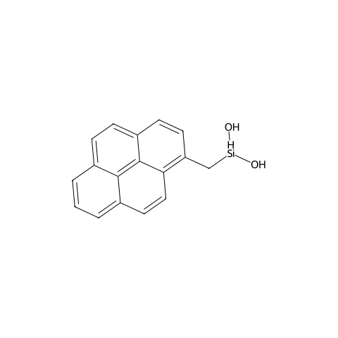 O[SiH](O)Cc1ccc2ccc3cccc4ccc1c2c34